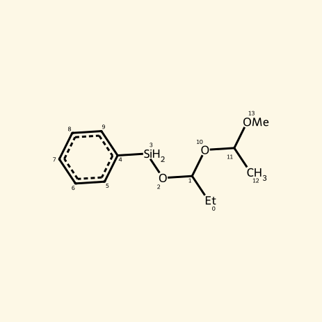 CCC(O[SiH2]c1ccccc1)OC(C)OC